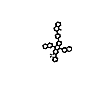 CC1c2ccccc2C=CC1c1ccc(-c2ccc3c(C4C=C5C=CCCC5=CC4)c4cc5c(cc4c(-c4ccc6ccccc6c4)c3c2)S(C)(C)c2ccccc2-5)cc1